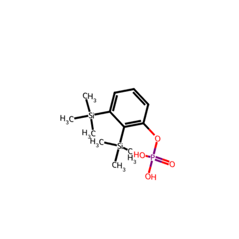 C[Si](C)(C)c1cccc(OP(=O)(O)O)c1[Si](C)(C)C